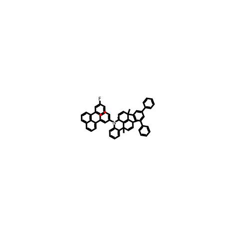 CC1C=CC2(C)C3=C1C(C)(c1cc(-c4ccccc4)cc(-c4ccccc4)c1)C=CC3(C)N(c1cccc(-c3cccc4cccc(-c5cccc(F)c5)c34)c1)c1ccccc12